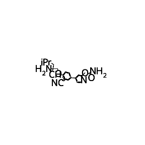 CC(C)CC(C)(N)COc1ccc(-c2ccnc(OC(N)=O)c2)cc1C#N